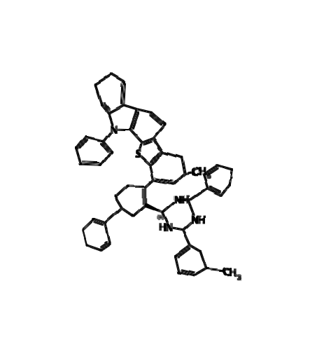 CC1C=CC=C(C2NC(C3=CCCC=C3)N[C@H](C3=C(C4=CC(C)Cc5c4sc4c5ccc5c6c(n(-c7ccccc7)c54)=CCCC=6)CCC(C4=CCCC=C4)C3)N2)C1